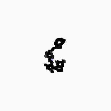 Cc1nn(C)c(-n2ccc3cc(Cl)cnc32)c1/C=C/C(=O)NS(=O)(=O)CC=CNC1CCCCC1